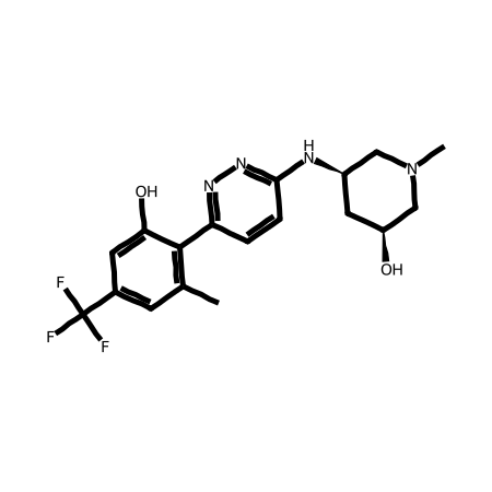 Cc1cc(C(F)(F)F)cc(O)c1-c1ccc(N[C@@H]2C[C@H](O)CN(C)C2)nn1